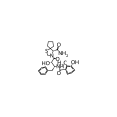 Cc1c(O)cccc1C(=O)N[C@@H](Cc1ccccc1)[C@H](O)C(=O)N1CSC2(CCCC2)[C@H]1C(N)=O